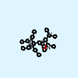 c1ccc(-c2ccc(N3c4ccc(-c5ccccc5)cc4B4c5cc(-c6ccccc6)ccc5N(c5ccc(-c6ccccc6)cc5)c5cc(-c6ccc7c(c6)c6ccccc6n7-c6ccc(-c7cc(-c8ccccc8)nc(-c8ccccc8)c7)cc6-c6cc(-c7ccccc7)nc(-c7ccccc7)c6)cc3c54)cc2)cc1